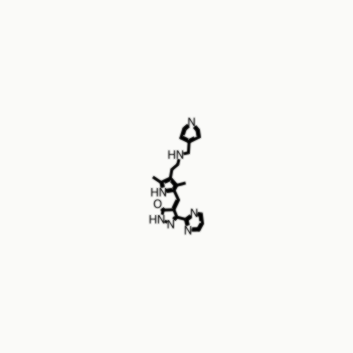 Cc1[nH]c(C=C2C(=O)NN=C2c2ncccn2)c(C)c1CCNCc1ccncc1